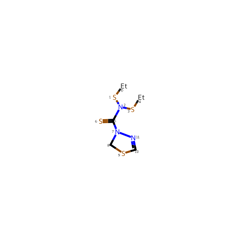 CCSN(SCC)C(=S)N1CSC=N1